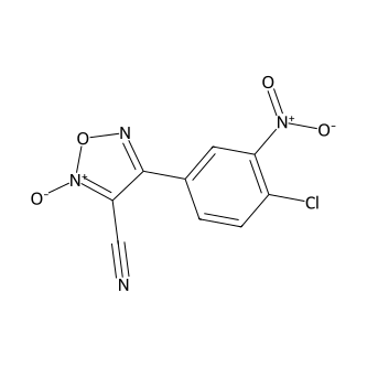 N#Cc1c(-c2ccc(Cl)c([N+](=O)[O-])c2)no[n+]1[O-]